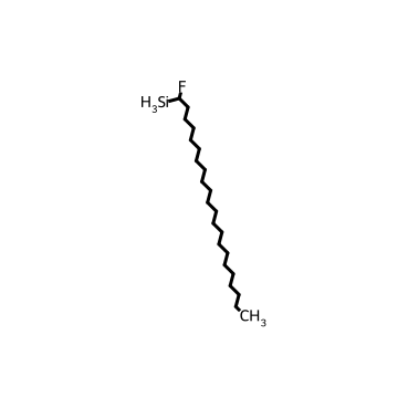 CCCCCCCCCCCCCCCCCCCCCC(F)[SiH3]